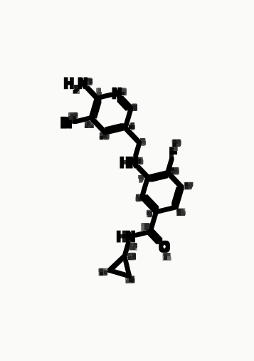 Nc1ncc(CNc2cc(C(=O)NC3CC3)ccc2F)cc1Br